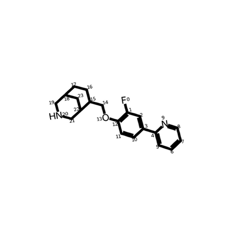 Fc1cc(-c2ccccn2)ccc1OCC1CCC2CNCC1C2